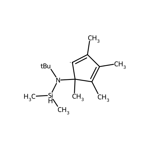 CC1=[C]C(C)(N([SiH](C)C)C(C)(C)C)C(C)=C1C